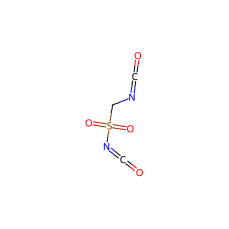 O=C=NCS(=O)(=O)N=C=O